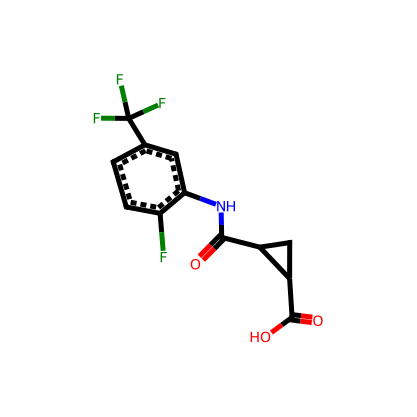 O=C(O)C1CC1C(=O)Nc1cc(C(F)(F)F)ccc1F